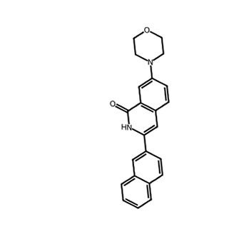 O=c1[nH]c(-c2ccc3ccccc3c2)cc2ccc(N3CCOCC3)cc12